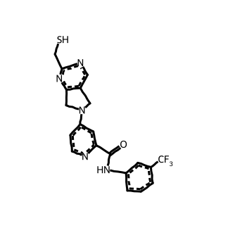 O=C(Nc1cccc(C(F)(F)F)c1)c1cc(N2Cc3cnc(CS)nc3C2)ccn1